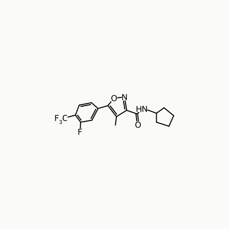 Cc1c(C(=O)NC2CCCC2)noc1-c1ccc(C(F)(F)F)c(F)c1